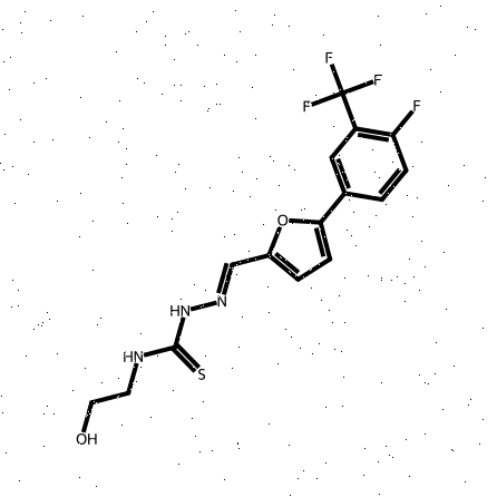 OCCNC(=S)N/N=C/c1ccc(-c2ccc(F)c(C(F)(F)F)c2)o1